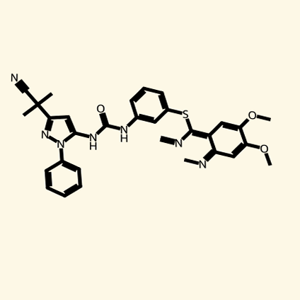 C=N/C(Sc1cccc(NC(=O)Nc2cc(C(C)(C)C#N)nn2-c2ccccc2)c1)=C1/C=C(OC)C(OC)=C/C1=N/C